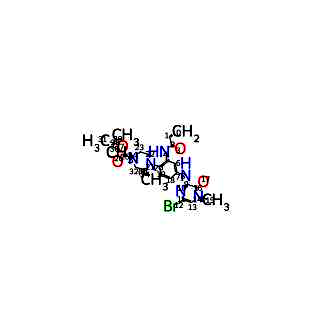 C=CC(=O)Nc1cc(Nc2nc(Br)cn(C)c2=O)ccc1N1CCN(C(=O)OC(C)(C)C)C[C@@H]1C